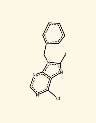 Clc1ncnc2c1nc(I)n2Cc1ccccc1